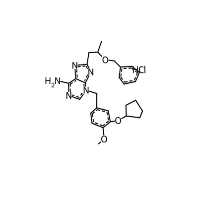 COc1ccc(Cn2cnc(N)c3nc(CC(C)OCc4ccccc4)nc2-3)cc1OC1CCCC1.Cl